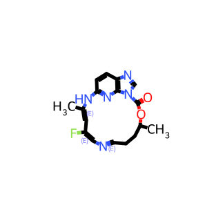 C\C1=C/C(F)=C\N=C\CCC(C)OC(=O)n2cnc3ccc(nc32)N1